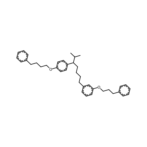 C[C](C)C(CCCCc1cccc(OCCCc2ccccc2)c1)c1ccc(OCCCCc2ccccc2)cc1